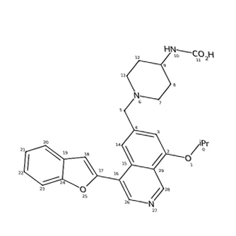 CC(C)Oc1cc(CN2CCC(NC(=O)O)CC2)cc2c(-c3cc4ccccc4o3)cncc12